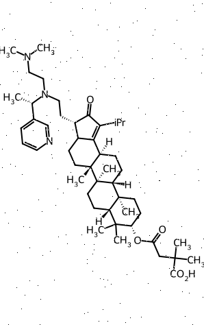 CC(C)C1=C2C(CC[C@]3(C)[C@@H]2CC[C@@H]2[C@@]4(C)CC[C@H](OC(=O)CC(C)(C)C(=O)O)C(C)(C)[C@@H]4CC[C@]23C)[C@H](CCN(CCN(C)C)[C@@H](C)c2cccnc2)C1=O